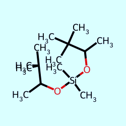 CC(O[Si](C)(C)OC(C)C(C)(C)C)C(C)(C)C